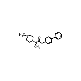 CN1CCC(N(C)C(=O)Cc2ccc(-c3ccccc3)cc2)CC1